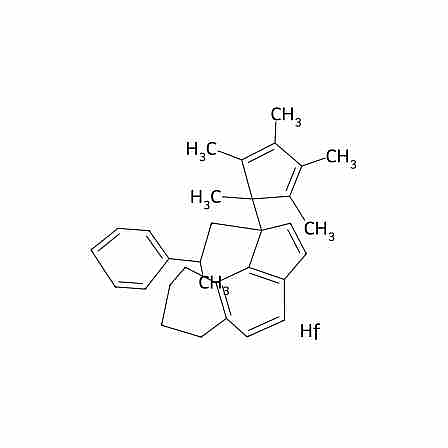 CC1=C(C)C(C)(C2(CC(C)c3ccccc3)C=Cc3ccc4c(c32)CCCC4)C(C)=C1C.[Hf]